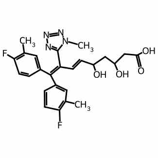 Cc1cc(C(=C(/C=C/C(O)CC(O)CC(=O)O)c2nnnn2C)c2ccc(F)c(C)c2)ccc1F